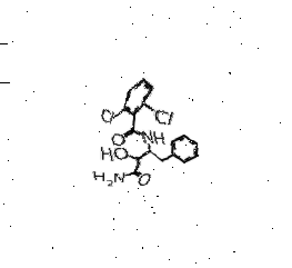 NC(=O)C(O)[C@H](Cc1ccccc1)NC(=O)c1c(Cl)cccc1Cl